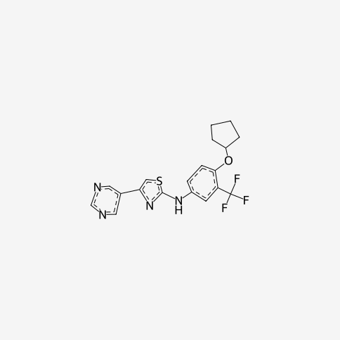 FC(F)(F)c1cc(Nc2nc(-c3cncnc3)cs2)ccc1OC1CCCC1